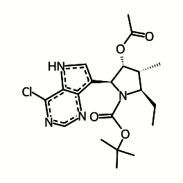 CC[C@@H]1[C@@H](C)[C@@H](OC(C)=O)[C@H](c2c[nH]c3c(Cl)ncnc23)N1C(=O)OC(C)(C)C